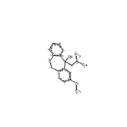 COc1ccc2c(c1)C(O)(CN(C)C)c1ccccc1OC2